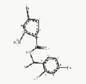 CC(NC(=O)c1ccc(Br)cc1N)c1ccc(F)cc1F